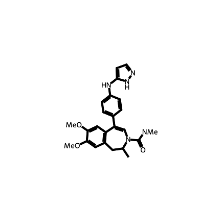 CNC(=O)N1C=C(c2ccc(Nc3ccn[nH]3)cc2)c2cc(OC)c(OC)cc2CC1C